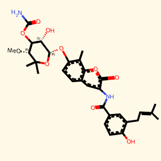 CO[C@@H]1C(OC(N)=O)[C@H](O)[C@H](Oc2ccc3cc(NC(=O)c4ccc(O)c(CC=C(C)C)c4)c(=O)oc3c2C)OC1(C)C